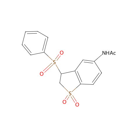 CC(=O)Nc1ccc2c(c1)C(S(=O)(=O)c1ccccc1)CS2(=O)=O